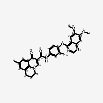 COc1cc2ncnc(Oc3ccc(NC(=O)c4cn5c6c(cc(C)cc6c4=O)CCC5)cc3F)c2cc1OC